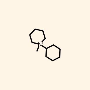 C[N+]1(C2CCCCC2)CCCCC1